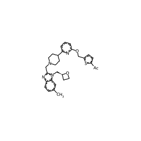 CC(=O)c1ccc(COc2cccc(C3CCN(Cc4nc5ccc(C)cc5n4C[C@@H]4CCO4)CC3)n2)s1